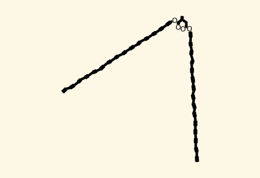 C#CC#CC#CC#CC#CC#CC#CC#CC#CC#CC#CC#CC#CC#CC#COC(=O)CC(=C)C(=O)OC#CC#CC#CC#CC#CC#CC#CC#CC#CC#CC#CC#CC#CC#CC#C